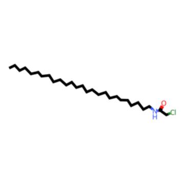 CCCCCCCCCCCCCCCCCCCCCCCCCCNC(=O)CCl